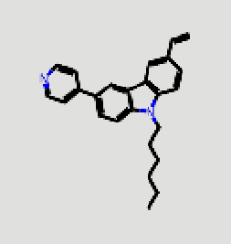 C=Cc1ccc2c(c1)c1cc(-c3ccncc3)ccc1n2CCCCCC